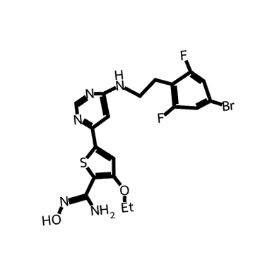 CCOc1cc(-c2cc(NCCc3c(F)cc(Br)cc3F)ncn2)sc1/C(N)=N/O